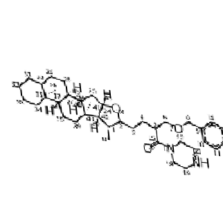 C[C@@H]1C(CCC(COCc2ccccc2)C(=O)N2CCNCC2)O[C@H]2C[C@H]3[C@@H]4CCC5CCCC[C@]5(C)[C@H]4CC[C@]3(C)[C@H]21